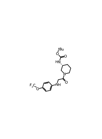 CC(C)(C)OC(=O)N[C@@H]1CCCN(C(=O)CNc2ccc(OC(F)(F)F)cc2)C1